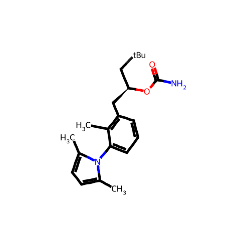 Cc1c(C[C@@H](CC(C)(C)C)OC(N)=O)cccc1-n1c(C)ccc1C